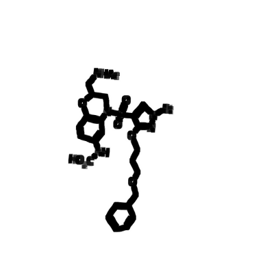 CCn1cc(S(=O)(=O)N2CC(CNC(C)=O)Oc3ccc(NC(=O)O)cc32)c(OCCCOCc2ccccc2)n1